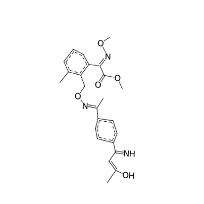 CO/N=C(/C(=O)OC)c1cccc(C)c1CO/N=C(\C)c1ccc(C(=N)/C=C(/C)O)cc1